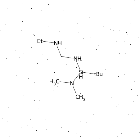 CCNCN[SiH](N(C)C)C(C)(C)C